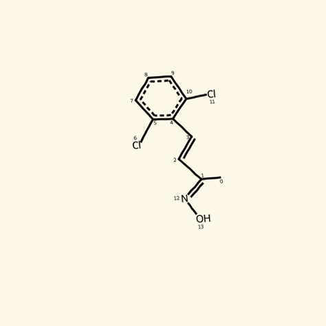 C/C(C=Cc1c(Cl)cccc1Cl)=N\O